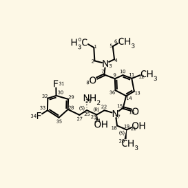 CCCN(CCC)C(=O)c1cc(C)cc(C(=O)N(C[C@H](C)O)C[C@@H](O)[C@@H](N)Cc2cc(F)cc(F)c2)c1